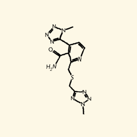 Cn1nnc(CSCc2nccc(-c3nnnn3C)c2C(N)=O)n1